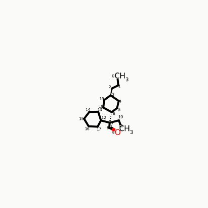 CCC[C@H]1CC[C@H](C(C=O)(CC)C2CCCCC2)CC1